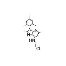 Cc1cc(C)c(-n2c(C)nc3c(NCCCl)cc(C)nc32)c(C)c1